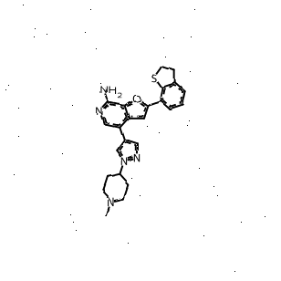 CN1CCC(n2cc(-c3cnc(N)c4oc(-c5cccc6c5SCC6)cc34)cn2)CC1